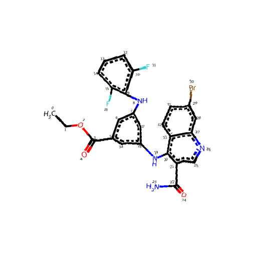 CCOC(=O)c1cc(Nc2c(F)cccc2F)cc(Nc2c(C(N)=O)cnc3cc(Br)ccc23)c1